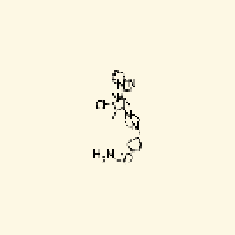 Cc1c(Cl)nc(-c2cnc3ccccn23)nc1N1CCN(Cc2ccc(OC(C)(C)CN)cc2)CC1